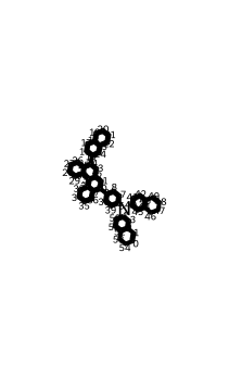 C1=Cc2cc(N(c3ccc(-c4cc5cc(-c6ccc7ccccc7c6)c6ccccc6c5c5ccccc45)cc3)c3ccc4c(c3)CCC=C4)ccc2CC1